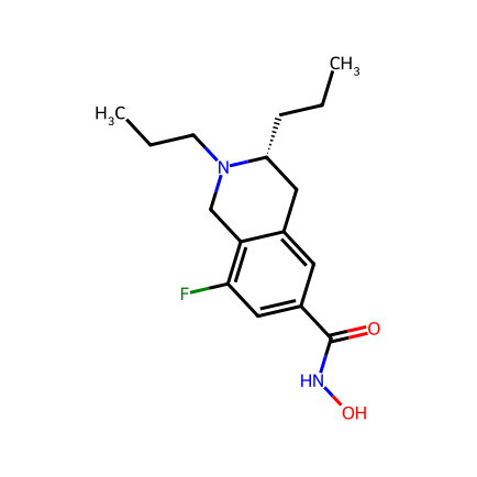 CCC[C@@H]1Cc2cc(C(=O)NO)cc(F)c2CN1CCC